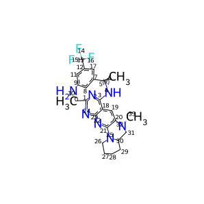 Cc1nc(N[C@H](C)c2cc(N)cc(C(F)(F)F)c2)c2cc3c(nc2n1)N1CCCCC1CN3C